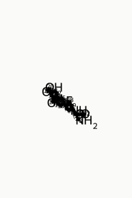 NC[C@@H](CNc1ccc(N2CCn3c(=O)c4cc(C(=O)O)ccc4n3CC2)c(F)c1)OC=O